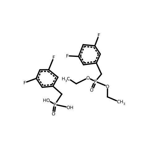 CCOP(=O)(Cc1cc(F)cc(F)c1)OCC.O=P(O)(O)Cc1cc(F)cc(F)c1